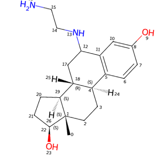 C[C@]12CC[C@@H]3c4ccc(O)cc4C(NCCN)C[C@H]3[C@@H]1CC[C@@H]2O